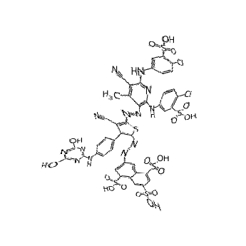 Cc1c(C#N)c(Nc2ccc(Cl)c(S(=O)(=O)O)c2)nc(Nc2ccc(Cl)c(S(=O)(=O)O)c2)c1N=Nc1sc(N=Nc2cc(S(=O)(=O)O)c3cc(S(=O)(=O)O)cc(S(=O)(=O)O)c3c2)c(-c2ccc(Nc3nc(O)nc(O)n3)cc2)c1C#N